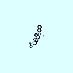 C[C@]12CC=C3C=C4CC[C@H]([N+]5([O-])CCC5)C[C@]45CCC3(O5)[C@@H]1CC[C@@H]2c1ccc2ccccc2c1